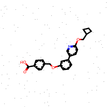 O=C(O)c1ccc(COc2cccc(-c3ccc(OCC4CCC4)nc3)c2)cc1